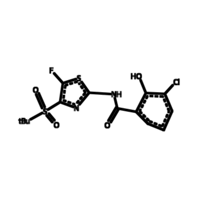 CC(C)(C)S(=O)(=O)c1nc(NC(=O)c2cccc(Cl)c2O)sc1F